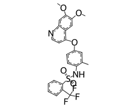 COc1cc2nccc(Oc3ccc(NS(=O)(=O)c4ccccc4C(F)(F)F)c(C)c3)c2cc1OC